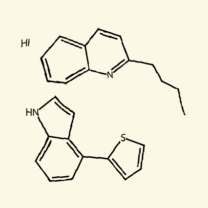 CCCCc1ccc2ccccc2n1.I.c1csc(-c2cccc3[nH]ccc23)c1